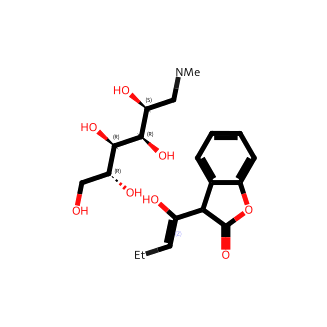 CC/C=C(\O)C1C(=O)Oc2ccccc21.CNC[C@H](O)[C@@H](O)[C@H](O)[C@H](O)CO